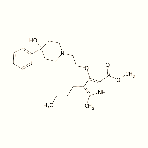 CCCCc1c(C)[nH]c(C(=O)OC)c1OCCN1CCC(O)(c2ccccc2)CC1